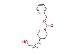 O=C(OCc1ccccc1)N1CCC([C@H]2C[C@H]2CO)CC1